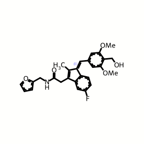 COc1cc(/C=C2/C(C)=C(CC(=O)NCc3ccco3)c3cc(F)ccc32)cc(OC)c1CO